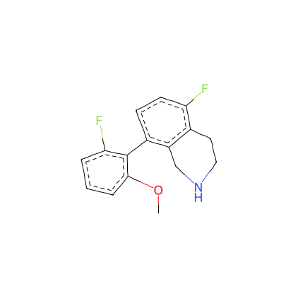 COc1cccc(F)c1-c1ccc(F)c2c1CNCC2